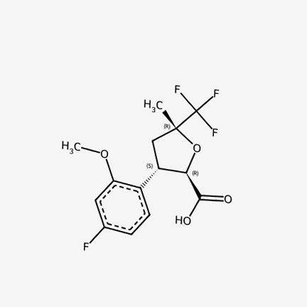 COc1cc(F)ccc1[C@@H]1C[C@](C)(C(F)(F)F)O[C@H]1C(=O)O